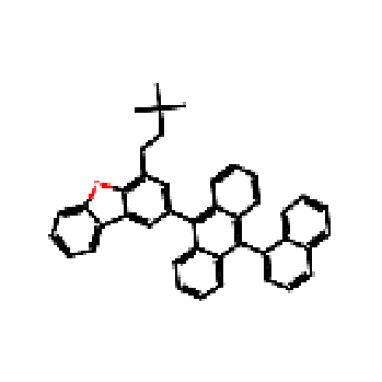 CC(C)(C)CCc1cc(-c2c3ccccc3c(-c3cccc4ccccc34)c3ccccc23)cc2c1oc1ccccc12